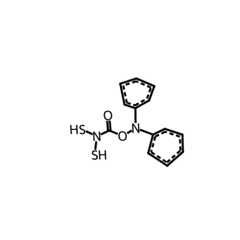 O=C(ON(c1ccccc1)c1ccccc1)N(S)S